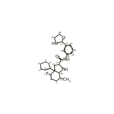 CC1CCC(F)C2(C3CCCCC3)CC(C(=O)Nc3cccc(C4NCCO4)c3)NC12